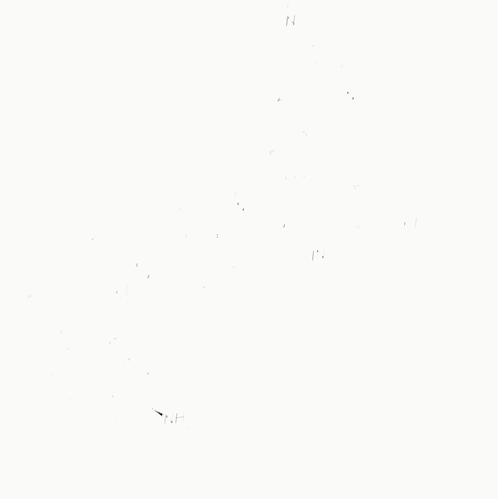 CC(NCc1cc(Br)c(OCc2cccc(-c3cccc(-c4ccc5c(c4)C[C@@H](N)C5)c3Cl)c2Cl)nc1OCc1cncc(C#N)c1)C(=O)O